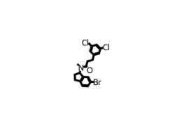 CN(C(=O)CCc1cc(Cl)cc(Cl)c1)C1CCc2ccc(Br)cc21